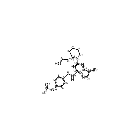 CCC(=O)Nc1ccc(CNc2nc(N3CCCC[C@H]3CCO)nc3c(C(C)C)cnn23)cc1